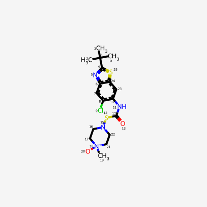 CC(C)(C)c1nc2cc(Cl)c(NC(=O)SN3CC[N+](C)([O-])CC3)cc2s1